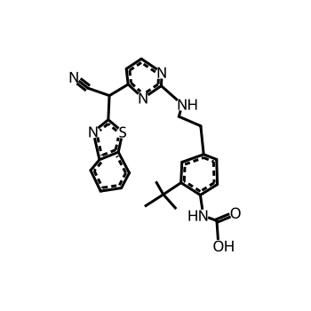 CC(C)(C)c1cc(CCNc2nccc(C(C#N)c3nc4ccccc4s3)n2)ccc1NC(=O)O